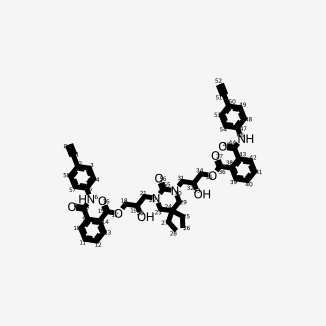 C#Cc1ccc(NC(=O)c2ccccc2C(=O)OCC(O)CN2CC(CC)(CC)CN(CC(O)COC(=O)c3ccccc3C(=O)Nc3ccc(C#C)cc3)C2=O)cc1